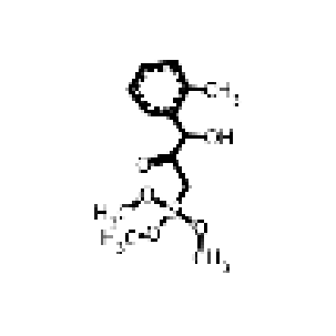 CO[Si](CC(=O)C(O)c1ccccc1C)(OC)OC